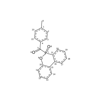 Cc1ccc(C(=O)P2(=O)Oc3ccccc3-c3ccccc32)cc1